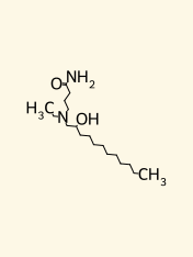 CCCCCCCCCCC(O)CN(CC)CCCC(N)=O